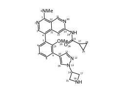 CNc1ncc(-c2cccc(-c3cnn(C4CNC4)c3)c2OC)c2cc(NC(=O)C3CC3)ncc12